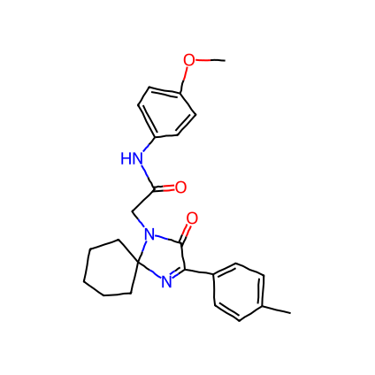 COc1ccc(NC(=O)CN2C(=O)C(c3ccc(C)cc3)=NC23CCCCC3)cc1